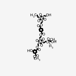 CCCn1c(=O)n(CCO)c(=O)n(CCOC(=O)c2ccc(C(=O)OCCn3c(=O)n(CCOC(=O)c4cc(O)cc(C(=O)OC)c4)c(=O)n(CCOC(=O)C(C)(C)O)c3=O)cc2)c1=O